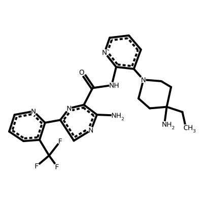 CCC1(N)CCN(c2cccnc2NC(=O)c2nc(-c3ncccc3C(F)(F)F)cnc2N)CC1